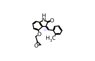 Cc1ccccc1/C=C1\C(=O)Nc2cccc(OCC3CO3)c21